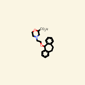 O=C(O)C1CN(CCOC2c3ccccc3CCc3ccccc32)CCO1